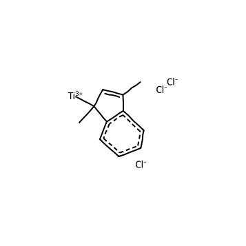 CC1=C[C](C)([Ti+3])c2ccccc21.[Cl-].[Cl-].[Cl-]